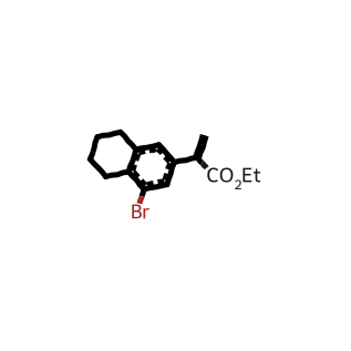 C=C(C(=O)OCC)c1cc(Br)c2c(c1)CCCC2